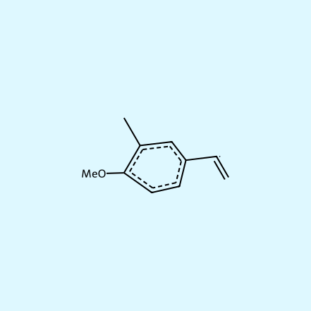 C=[C]c1ccc(OC)c(C)c1